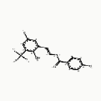 O=C(N/N=C/c1cc(Cl)cc(C(F)(F)F)c1O)c1ccc(Cl)cc1